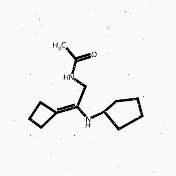 CC(=O)NCC(NC1CCCC1)=C1CCC1